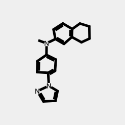 CN(c1ccc(-n2cccn2)cc1)c1ccc2c(c1)CCCC2